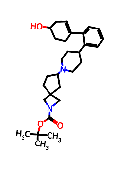 CC(C)(C)OC(=O)N1CC2(CC[C@@H](N3CCC(c4ccccc4C4=CCC(O)CC4)CC3)C2)C1